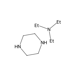 C1CNCCN1.CCN(CC)CC